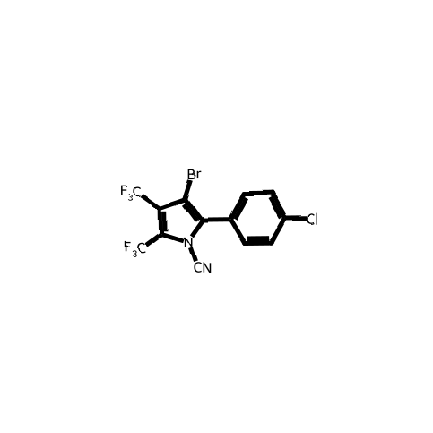 N#Cn1c(-c2ccc(Cl)cc2)c(Br)c(C(F)(F)F)c1C(F)(F)F